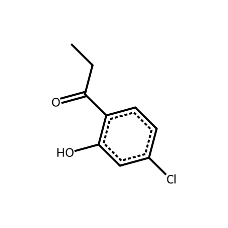 CCC(=O)c1ccc(Cl)cc1O